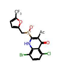 CC(=O)c1c([S+]([O-])Cc2ccc(C(F)(F)F)o2)[nH]c2c(Br)ccc(Cl)c2c1=O